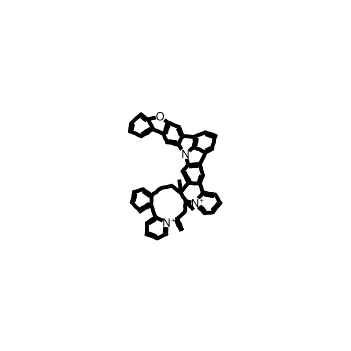 C=C1CC2(C)[n+]3ccccc3-c3cc4c5cccc6c7cc8oc9ccccc9c8cc7n(c4cc3C2(C)CCc2ccccc2-c2cccc[n+]21)c56